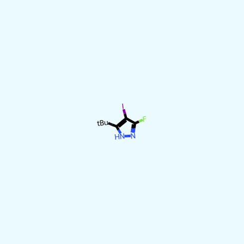 CC(C)(C)c1[nH]nc(F)c1I